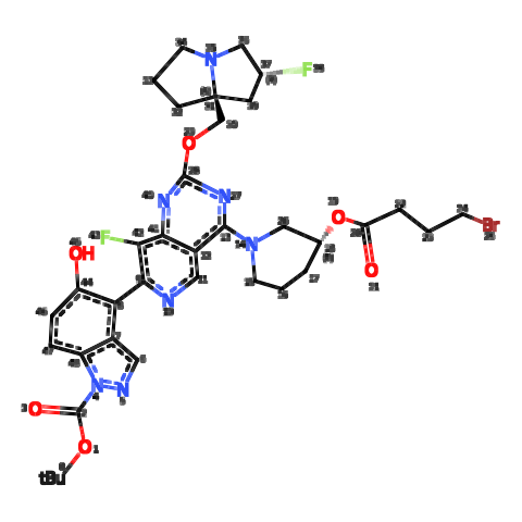 CC(C)(C)OC(=O)n1ncc2c(-c3ncc4c(N5CCC[C@@H](OC(=O)CCCBr)C5)nc(OC[C@@]56CCCN5C[C@H](F)C6)nc4c3F)c(O)ccc21